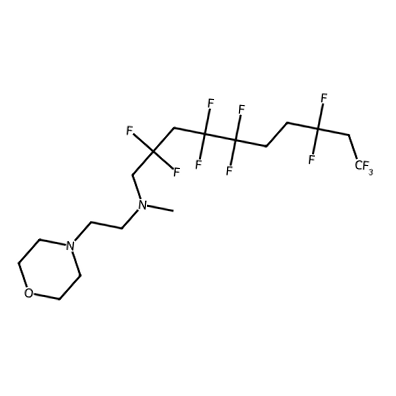 CN(CCN1CCOCC1)CC(F)(F)CC(F)(F)C(F)(F)CCC(F)(F)CC(F)(F)F